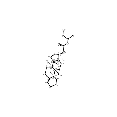 CC(CO)OC(=O)O[C@@H]1CC[C@H]2[C@@H]3CCC4=CCCC[C@]4(C)[C@H]3CC[C@]12C